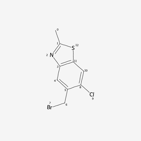 Cc1nc2cc(CBr)c(Cl)cc2s1